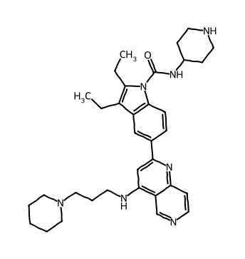 CCc1c(CC)n(C(=O)NC2CCNCC2)c2ccc(-c3cc(NCCCN4CCCCC4)c4cnccc4n3)cc12